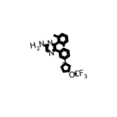 Cc1cccc(C)c1-c1nc(N)cnc1-c1cccc([C@@H]2CCC(OC(F)(F)F)C2)c1